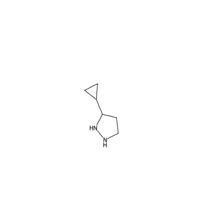 C1CC(C2CC2)NN1